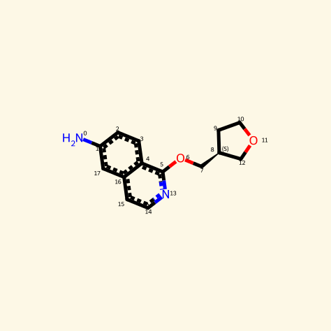 Nc1ccc2c(OC[C@H]3CCOC3)nccc2c1